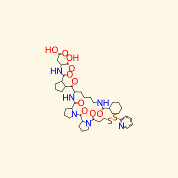 O=C(O)CC(NC(=O)C1CCCC1C(=O)C(CCCCNC(=O)C1CCCCC1)NC(=O)C1CCCN1C(=O)C1CCCN1C(=O)CCSSc1ccccn1)C(=O)O